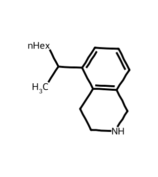 CCCCCCC(C)c1cccc2c1CCNC2